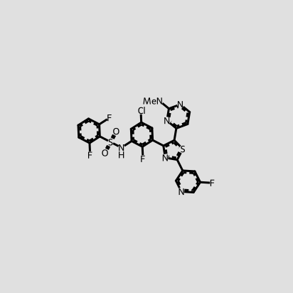 CNc1nccc(-c2sc(-c3cncc(F)c3)nc2-c2cc(Cl)cc(NS(=O)(=O)c3c(F)cccc3F)c2F)n1